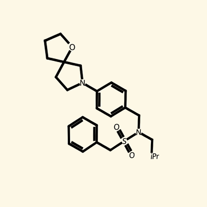 CC(C)CN(Cc1ccc(N2CCC3(CCCO3)C2)cc1)S(=O)(=O)Cc1ccccc1